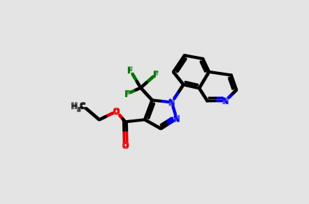 CCOC(=O)c1cnn(-c2cccc3ccncc23)c1C(F)(F)F